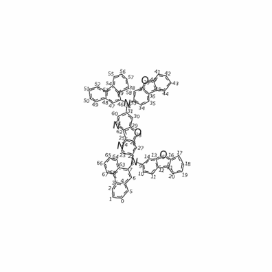 c1ccc2c(c1)cc(N(c1ccc3c(c1)oc1ccccc13)c1cnc3c(c1)oc1cc(N(c4ccc5c(c4)oc4ccccc45)c4cc5ccccc5c5ccccc45)cnc13)c1ccccc12